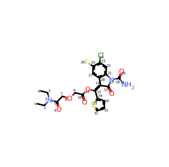 CCN(CC)C(=O)COCC(=O)O/C(=C1/C(=O)N(C(N)=O)c2cc(Cl)c(F)cc21)c1cccs1